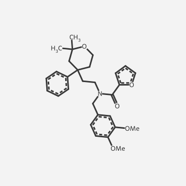 COc1ccc(CN(CCC2(c3ccccc3)CCOC(C)(C)C2)C(=O)c2ccco2)cc1OC